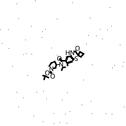 Cc1cc2c(cc1C(=O)N(C(C)C)[C@@H]1CCCN(C(=O)OC(C)(C)C)C1)NC(=O)C1(CCC1)S2